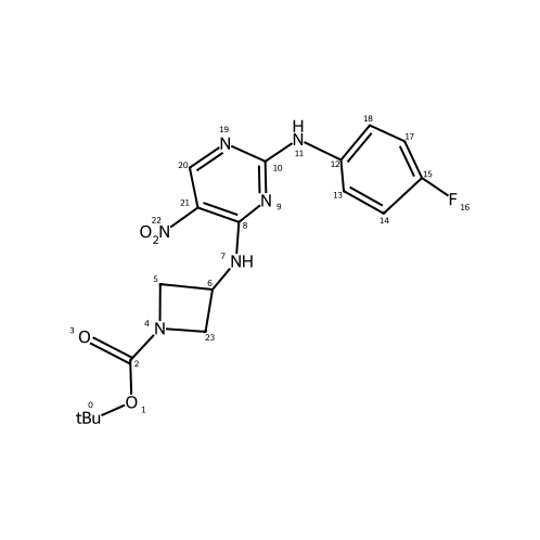 CC(C)(C)OC(=O)N1CC(Nc2nc(Nc3ccc(F)cc3)ncc2[N+](=O)[O-])C1